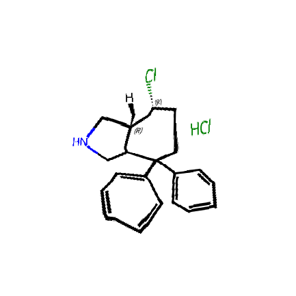 Cl.Cl[C@@H]1CCC(c2ccccc2)(c2ccccc2)C2CNC[C@@H]21